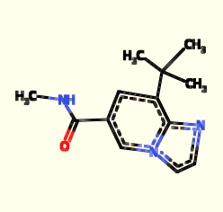 CNC(=O)c1cc(C(C)(C)C)c2nccn2c1